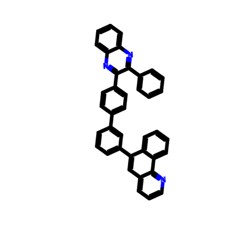 c1ccc(-c2nc3ccccc3nc2-c2ccc(-c3cccc(-c4cc5cccnc5c5ccccc45)c3)cc2)cc1